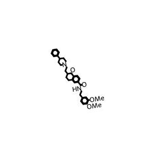 COc1ccc(CCNC(=O)c2ccc3c(c2)CCC(CCN2CCC(c4ccccc4)CC2)C3=O)cc1OC